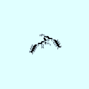 CCCN(CCN(C)CC(O)COCC(F)(F)C(F)(F)C(F)(F)C(F)F)CC(O)COCC(F)(F)C(F)(F)C(F)(F)C(F)F